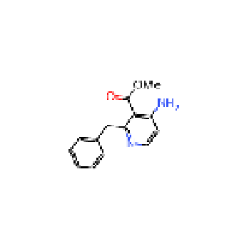 COC(=O)c1c(N)ccnc1Cc1ccccc1